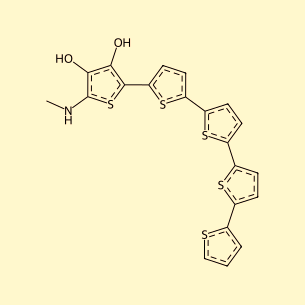 CNc1sc(-c2ccc(-c3ccc(-c4ccc(-c5cccs5)s4)s3)s2)c(O)c1O